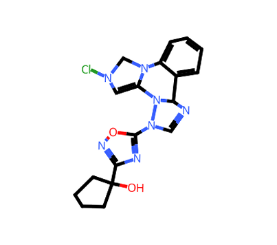 OC1(c2noc(N3C=NC4c5ccccc5N5CN(Cl)C=C5N43)n2)CCCC1